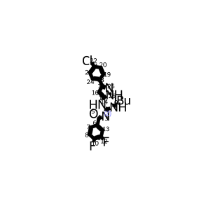 CCC(C)N/C(=N/C(=O)c1ccc(F)c(F)c1)Nc1cc(-c2ccc(Cl)cc2)n[nH]1